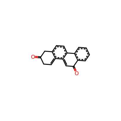 O=C1CC=c2c(ccc3c2=CC(=O)c2ccccc2-3)C1